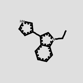 CCn1cc(-c2cc[nH]c2)c2ccccc21